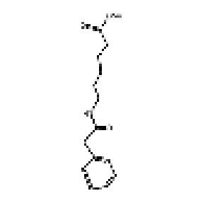 COC(=O)CCCCCNC(=O)Cc1ccccc1